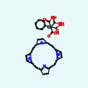 C1=Cc2cc3ccc(cc4nc(cc5ccc(cc1n2)[nH]5)C=C4)[nH]3.O=[C](O)[Co]([C](=O)O)([C](=O)O)([C](=O)O)[c]1ccccc1